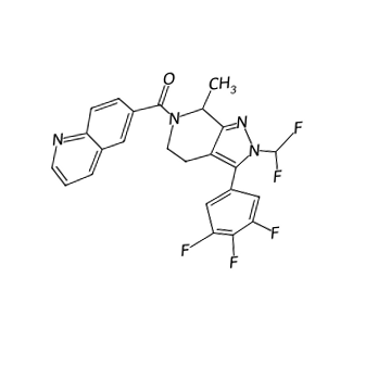 CC1c2nn(C(F)F)c(-c3cc(F)c(F)c(F)c3)c2CCN1C(=O)c1ccc2ncccc2c1